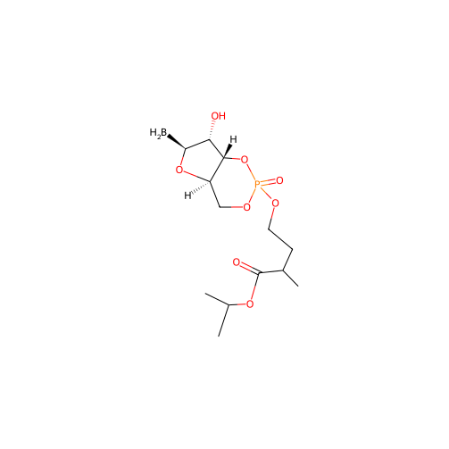 B[C@@H]1O[C@@H]2COP(=O)(OCCC(C)C(=O)OC(C)C)O[C@H]2[C@H]1O